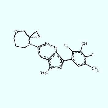 Cn1nc(-c2cc(C(F)(F)F)c(F)c(O)c2F)c2cnc(N3CCCOCC34CC4)cc21